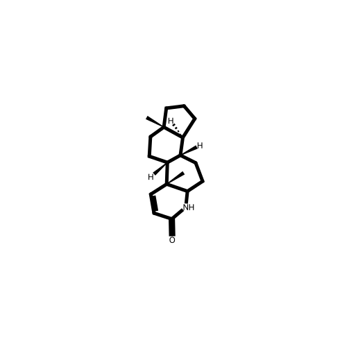 C[C@@]12CCC[C@H]1[C@@H]1CCC3NC(=O)C=C[C@]3(C)[C@@H]1CC2